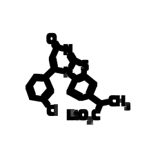 CCOC(=O)C(C)c1ccc2c(c1)sc1nc(=O)cc(-c3cccc(Cl)c3)n12